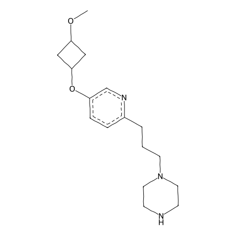 COC1CC(Oc2ccc(CCCN3CCNCC3)nc2)C1